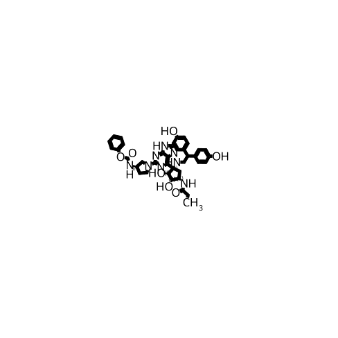 CCC(=O)N[C@H]1C[C@@](NCC(c2ccc(O)cc2)c2ccc(O)cc2)(c2nc(N3CC[C@@H](NC(=O)Oc4ccccc4)C3)nc3[nH]cnc23)[C@H](O)[C@@H]1O